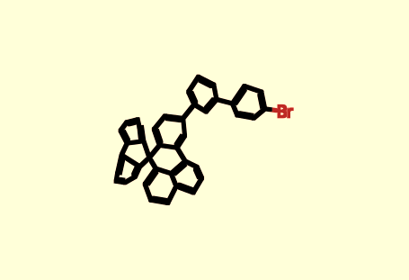 Brc1ccc(-c2cccc(-c3ccc4c(c3)-c3cccc5cccc(c35)C43c4ccccc4-c4ccccc43)c2)cc1